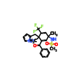 CC1(NS(C)(=O)=O)C=C(C(=O)c2ccccc2)C(C)(Cc2ccc[nH]2)C(C(F)(F)F)=C1